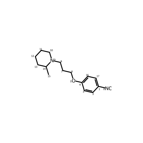 [C-]#[N+]c1ccc(OCCCN2CCCCC2C)cc1